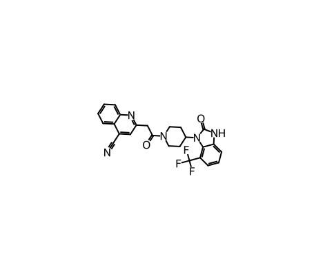 N#Cc1cc(CC(=O)N2CCC(n3c(=O)[nH]c4cccc(C(F)(F)F)c43)CC2)nc2ccccc12